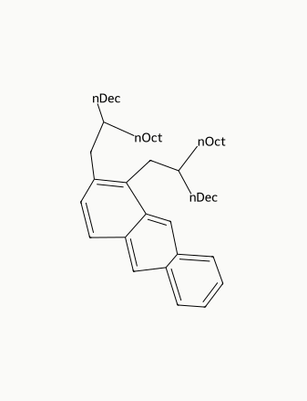 CCCCCCCCCCC(CCCCCCCC)Cc1ccc2cc3ccccc3cc2c1CC(CCCCCCCC)CCCCCCCCCC